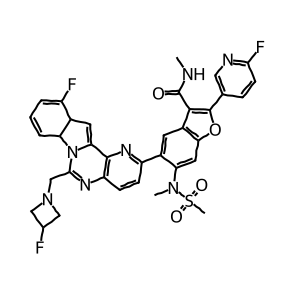 CNC(=O)c1c(-c2ccc(F)nc2)oc2cc(N(C)S(C)(=O)=O)c(-c3ccc4c(n3)C3=CC5C(F)=CC=CC5N3C(CN3CC(F)C3)=N4)cc12